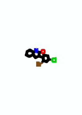 Clc1cc(Br)c2c(c1)oc1nc3ccccc3cc12